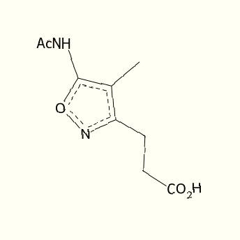 CC(=O)Nc1onc(CCC(=O)O)c1C